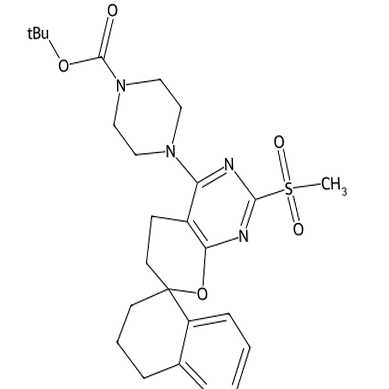 CC(C)(C)OC(=O)N1CCN(c2nc(S(C)(=O)=O)nc3c2CCC2(CCCc4ccccc42)O3)CC1